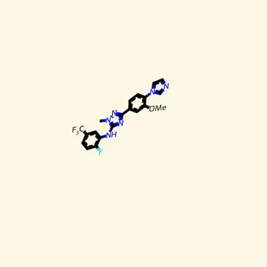 COc1cc(-c2nc(Nc3cc(C(F)(F)F)ccc3F)n(C)n2)ccc1-n1ccnc1